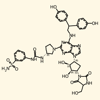 NS(=O)(=O)c1cccc(NC(=O)N[C@@H]2CCN(c3nc(NCC(c4ccc(O)cc4)c4ccc(O)cc4)c4ncn([C@@H]5C[C@H](N6C(=O)NC(CO)C6=O)[C@@H](O)[C@H]5O)c4n3)C2)c1